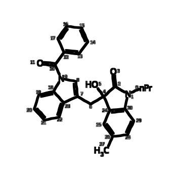 CCCN1C(=O)C(O)(Cc2cn(C(=O)c3ccccc3)c3ccccc23)c2cc(C)ccc21